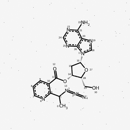 CC(N=[N+]=[N-])c1ncccc1C(=O)O[C@@H]1C[C@H](n2cnc3c(N)ncnc32)O[C@@H]1CO